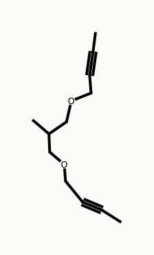 CC#CCOCC(C)COCC#CC